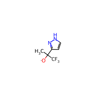 CC([O])(c1cc[nH]n1)C(F)(F)F